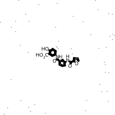 O=C(Nc1ccc(O)c(C(=O)O)c1)c1cccc(NC(=O)c2ccco2)c1